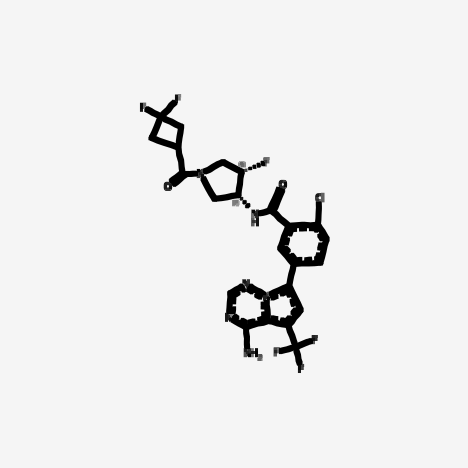 Nc1ncnn2c(-c3ccc(Cl)c(C(=O)N[C@@H]4CN(C(=O)C5CC(F)(F)C5)C[C@@H]4F)c3)cc(C(F)(F)F)c12